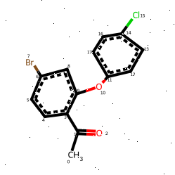 CC(=O)c1ccc(Br)cc1Oc1ccc(Cl)cc1